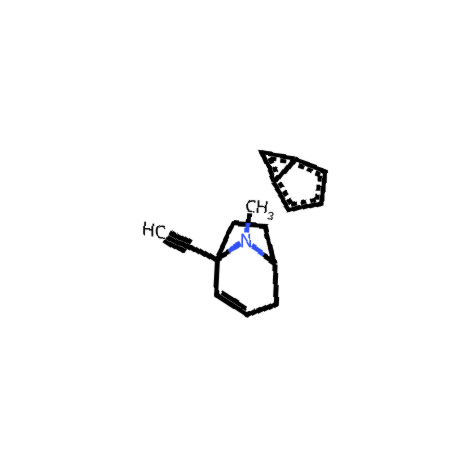 C#CC12C=CCC(CC1)N2C.c1cc2cc-2c1